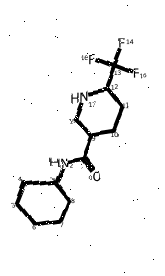 O=C(NC1CCCCC1)C1CCC(C(F)(F)F)NC1